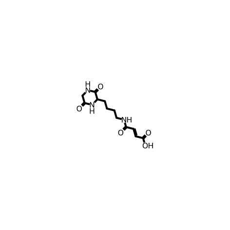 O=C(O)/C=C/C(=O)NCCCCC1NC(=O)CNC1=O